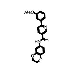 COc1cccc(-c2ccc(C(=O)Nc3ccc4c(c3)OCCO4)cn2)c1